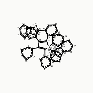 c1ccc(C2=C(c3ccccc3-c3nc4ccccc4s3)[Si](c3ccccc3)(c3ccccc3)C(c3ccccc3-c3nc4ccccc4s3)=C2c2ccccc2)cc1